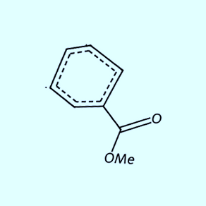 COC(=O)c1c[c]c[c]c1